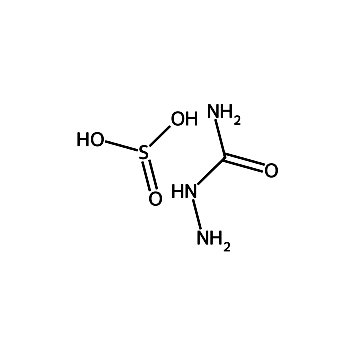 NNC(N)=O.O=S(O)O